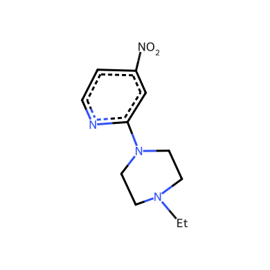 CCN1CCN(c2cc([N+](=O)[O-])ccn2)CC1